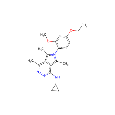 CCOc1ccc(-n2c(C)c3c(C)nnc(NC4CC4)c3c2C)c(OC)c1